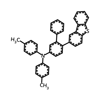 Cc1ccc(N(c2ccc(C)cc2)c2ccc(-c3ccc4sc5ccccc5c4c3)c(-c3ccccc3)c2)cc1